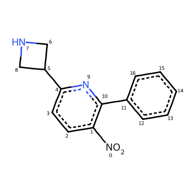 O=[N+]([O-])c1ccc(C2CNC2)nc1-c1ccccc1